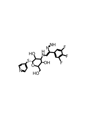 N=N/C(=C\NC1C(O)[C@@H](Sc2ccncc2)OC(CO)[C@@H]1O)c1cc(F)c(F)c(F)c1